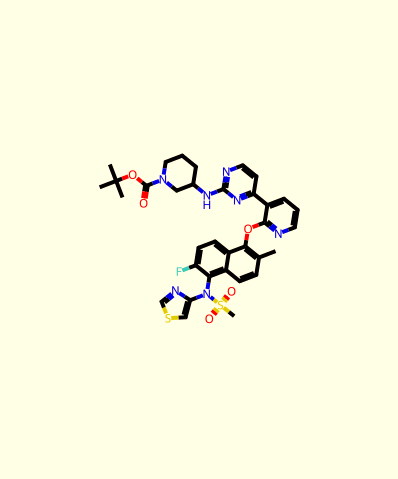 Cc1ccc2c(N(c3cscn3)S(C)(=O)=O)c(F)ccc2c1Oc1ncccc1-c1ccnc(NC2CCCN(C(=O)OC(C)(C)C)C2)n1